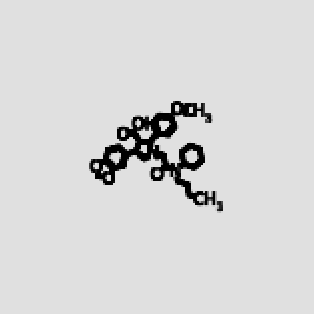 CCCCN(C(=O)CN1CC(c2ccc3c(c2)OCO3)C(C(=O)O)C1c1ccc(OC)cc1)C1CCCCC1